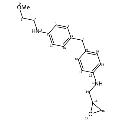 COCCNc1ccc(Cc2ccc(NCC3CO3)cc2)cc1